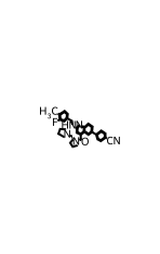 Cc1ccc(CNc2cc(C(=O)N3CCC[C@H]3CN3CCCC3)c3cc(-c4ccc(C#N)cc4)ccc3n2)cc1F